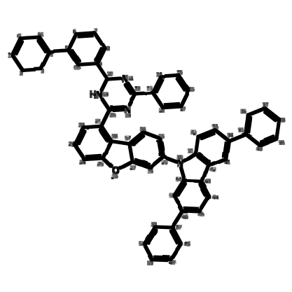 C1=CCCC(c2cccc(C3N=C(c4ccccc4)N=C(c4cccc5oc6cc(-n7c8ccc(-c9ccccc9)cc8c8ccc(-c9ccccc9)cc87)ccc6c45)N3)c2)=C1